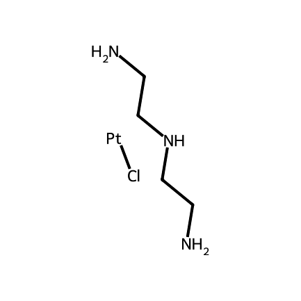 NCCNCCN.[Cl][Pt]